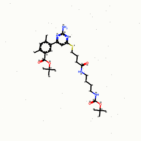 Cc1cc(C)c(-c2cc(SCCCC(=O)NCCCCNC(=O)OC(C)(C)C)nc(N)n2)cc1C(=O)OC(C)(C)C